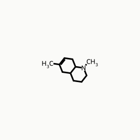 CC1=CCC2C(CCCN2C)C1